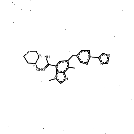 Cc1c(Cc2ccc(-c3cscn3)cc2)cc(C(=O)N[C@H]2CCCC[C@@H]2O)c2c1ncn2C